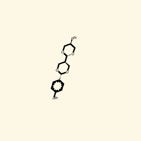 CCCc1ccc([C@H]2OC[C@H]([C@H]3OC[C@H](CCC)CO3)CO2)cc1